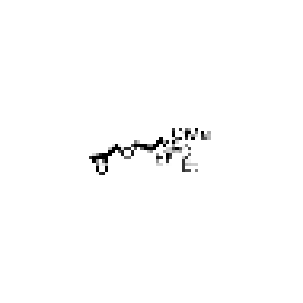 CCO[Si](CC)(CCCOCC1CO1)OC